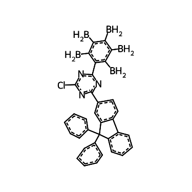 Bc1c(B)c(B)c(-c2nc(Cl)nc(-c3ccc4c(c3)C(c3ccccc3)(c3ccccc3)c3ccccc3-4)n2)c(B)c1B